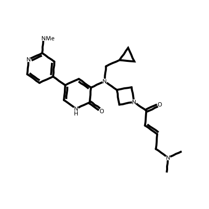 CNc1cc(-c2c[nH]c(=O)c(N(CC3CC3)C3CN(C(=O)C=CCN(C)C)C3)c2)ccn1